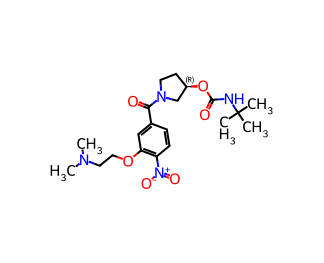 CN(C)CCOc1cc(C(=O)N2CC[C@@H](OC(=O)NC(C)(C)C)C2)ccc1[N+](=O)[O-]